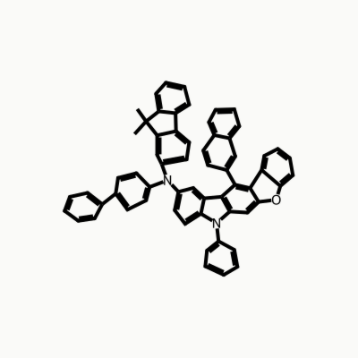 CC1(C)c2ccccc2-c2ccc(N(c3ccc(-c4ccccc4)cc3)c3ccc4c(c3)c3c(-c5ccc6ccccc6c5)c5c(cc3n4-c3ccccc3)oc3ccccc35)cc21